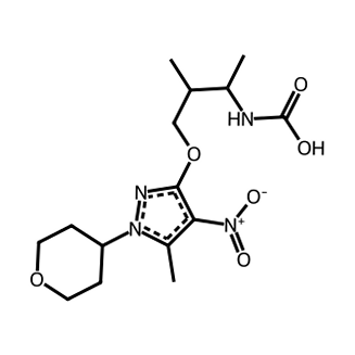 Cc1c([N+](=O)[O-])c(OCC(C)C(C)NC(=O)O)nn1C1CCOCC1